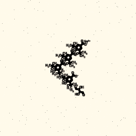 CC(C)(C)c1cc(C(=O)[O-])cc(C(C)(C)C)c1O.CC(C)(C)c1cc(C(=O)[O-])cc(C(C)(C)C)c1O.CC(C)(C)c1cc(C(=O)[O-])cc(C(C)(C)C)c1O.CC(C)(C)c1cc(C(=O)[O-])cc(C(C)(C)C)c1O.O=CC(O)C(O)C=O.[Sn+4]